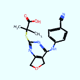 CC(C)(Sc1nc2c(c(Nc3ccc(C#N)cc3)n1)COC2)C(=O)O